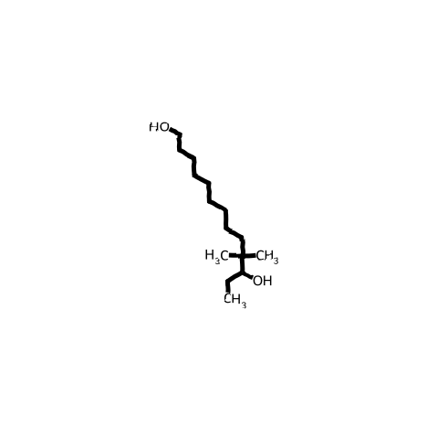 CCC(O)C(C)(C)CCCCCCCCCO